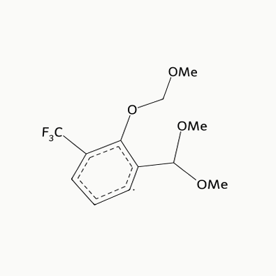 COCOc1c(C(OC)OC)[c]ccc1C(F)(F)F